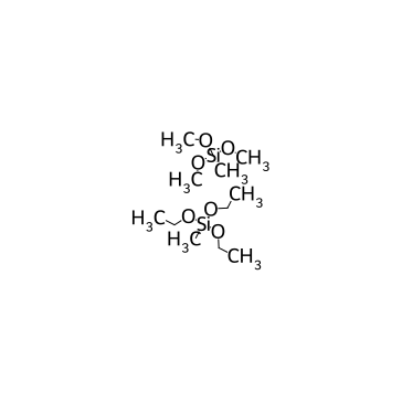 CCO[Si](C)(OCC)OCC.CO[Si](C)(OC)OC